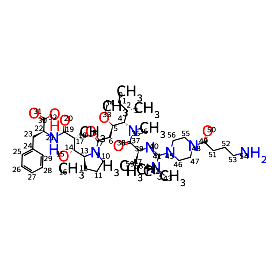 CC[C@H](C)[C@@H]([C@@H](CC(=O)N1CCC[C@H]1[C@H](OC)[C@@H](C)C(=O)N[C@@H](Cc1ccccc1)C(=O)O)OC)N(C)C(=O)[C@@H](/N=C(\N(C)C)N1CCN(C(=O)CCCN)CC1)C(C)C